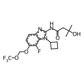 CC(C)(O)CC(=O)Nc1nc2ccc(OCOC(F)(F)F)c(F)c2n1C1CCC1